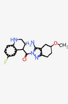 COC1CCc2nn(C(=O)C3CCNc4ccc(F)cc43)c(N)c2C1